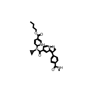 CCCCOC(=O)C1=CNC(N(C(=O)c2ccn3ncc(-c4ccc(C(=O)NC)cc4)c3c2)C2CC2)C=C1